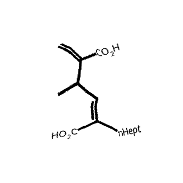 C=C(C(=O)O)C(C)C=C(CCCCCCC)C(=O)O